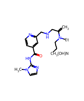 C=C(CNCc1cc(C(=O)Nc2nccn2C)ccn1)N(CC)CCN(C)O